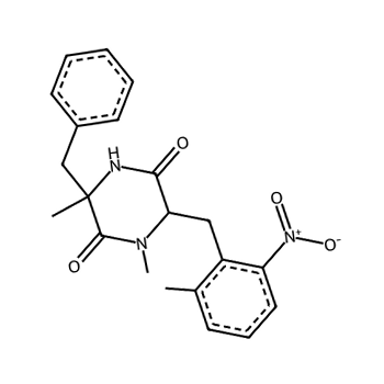 Cc1cccc([N+](=O)[O-])c1CC1C(=O)NC(C)(Cc2ccccc2)C(=O)N1C